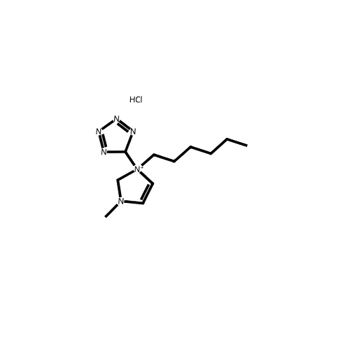 CCCCCC[N+]1(C2N=NN=N2)C=CN(C)C1.Cl